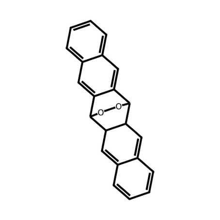 C1=c2ccccc2=CC2C3OOC(c4cc5ccccc5cc43)C12